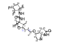 C=C1/C(=C\C=C(/C)Oc2ccnc3c2CCC(=O)N3)O[C@H]2CC12NC(=O)Nc1c(F)ccc(F)c1F